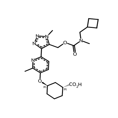 Cc1nc(-c2nnn(C)c2COC(=O)N(C)CC2CCC2)ccc1O[C@@H]1CCC[C@@H](C(=O)O)C1